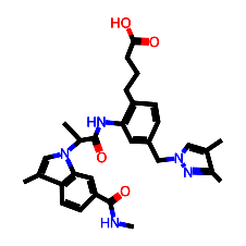 CNC(=O)c1ccc2c(C)cn(C(C)C(=O)Nc3cc(Cn4cc(C)c(C)n4)ccc3CCCC(=O)O)c2c1